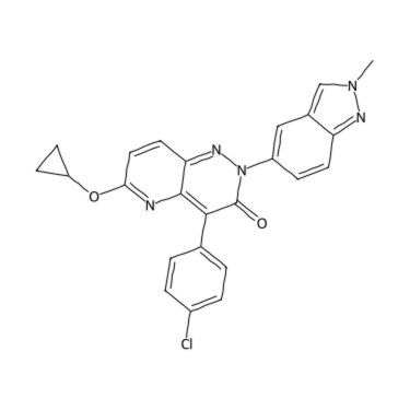 Cn1cc2cc(-n3nc4ccc(OC5CC5)nc4c(-c4ccc(Cl)cc4)c3=O)ccc2n1